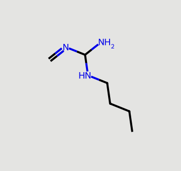 C=NC(N)NCCCC